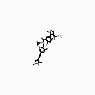 Cc1nn(C)cc1C#Cc1cnc(CN(C(=O)c2cc3c(cc2F)nc(N)c2cnn(C)c23)C2CC2)c(F)c1